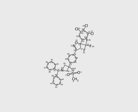 CS(=O)(=O)OC1(c2ccc(C3=NOC(c4cc(Cl)c(Cl)c(Cl)c4)(C(F)(F)F)C3)cc2)CN(C(c2ccccc2)c2ccccc2)C1